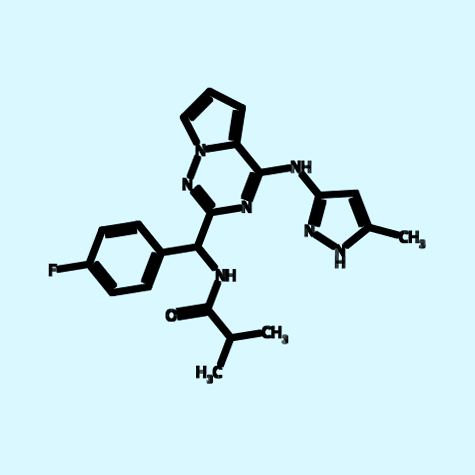 Cc1cc(Nc2nc(C(NC(=O)C(C)C)c3ccc(F)cc3)nn3cccc23)n[nH]1